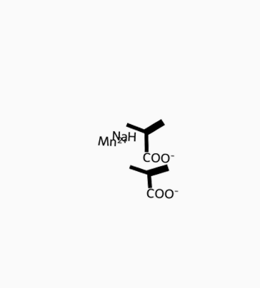 C=C(C)C(=O)[O-].C=C(C)C(=O)[O-].[Mn+2].[NaH]